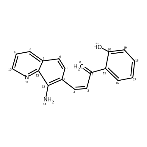 C=C(/C=C\c1ccc2cccnc2c1N)c1ccccc1O